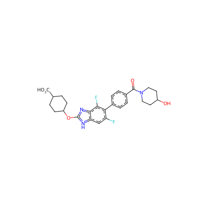 O=C(O)C1CCC(Oc2nc3c(F)c(-c4ccc(C(=O)N5CCC(O)CC5)cc4)c(F)cc3[nH]2)CC1